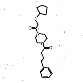 O=C(CCCc1ccccc1)N1CCN(C(=O)CSC2CCCC2)CC1